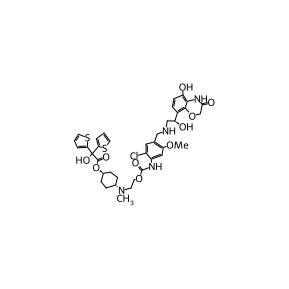 COc1cc(NC(=O)OCCN(C)[C@H]2CC[C@H](OC(=O)C(O)(c3cccs3)c3cccs3)CC2)c(Cl)cc1CNC[C@H](O)c1ccc(O)c2c1OCC(=O)N2